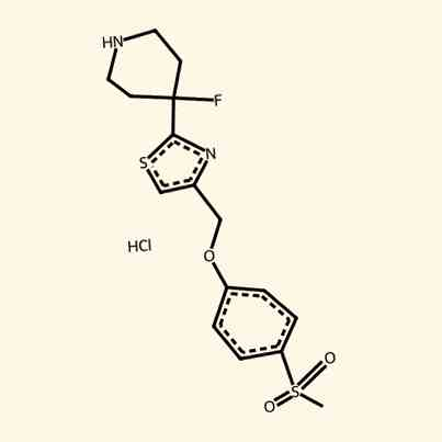 CS(=O)(=O)c1ccc(OCc2csc(C3(F)CCNCC3)n2)cc1.Cl